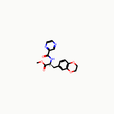 COC(=O)[C@H](Cc1ccc2c(c1)OCCO2)NC(=O)c1cnccn1